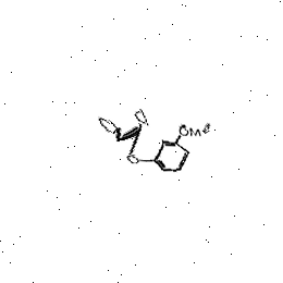 COc1cccc(OC(Cl)=CCl)c1